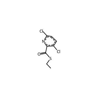 CCSC(=O)c1nc(Cl)ccc1Cl